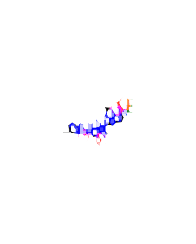 COc1cc(C(=O)N[C@@H]2CC[C@@H]3CCC2N3)cc2nc(-c3cc4ccc(N(C(F)F)S(C)(=O)=O)nc4n3CC3CC3)c(C)n12